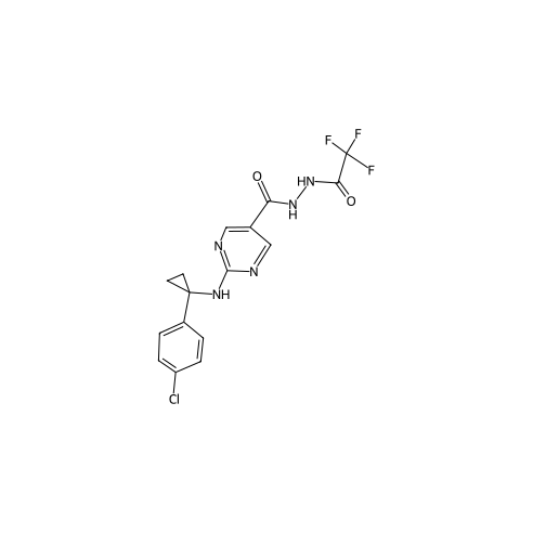 O=C(NNC(=O)C(F)(F)F)c1cnc(NC2(c3ccc(Cl)cc3)CC2)nc1